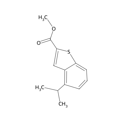 COC(=O)c1cc2c(C(C)C)cccc2s1